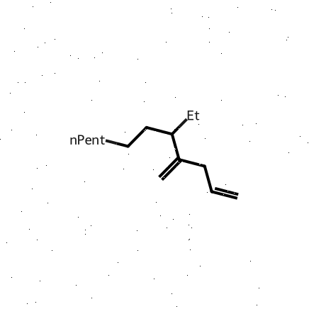 C=CCC(=C)C(CC)CCCCCCC